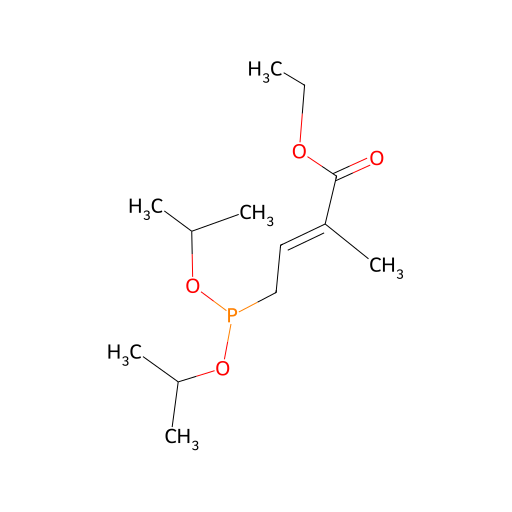 CCOC(=O)C(C)=CCP(OC(C)C)OC(C)C